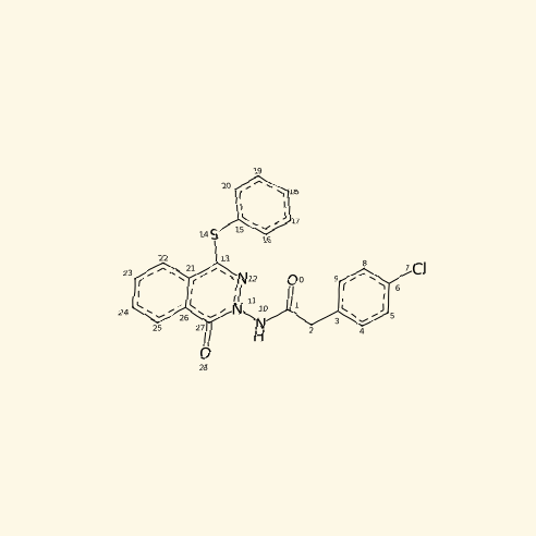 O=C(Cc1ccc(Cl)cc1)Nn1nc(Sc2ccccc2)c2ccccc2c1=O